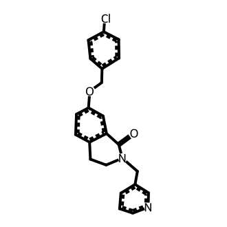 O=C1c2cc(OCc3ccc(Cl)cc3)ccc2CCN1Cc1cccnc1